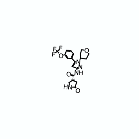 O=C1C[C@@H](C(=O)Nc2cc(-c3cccc(OC(F)(F)F)c3)n(C3CCOCC3)n2)CN1